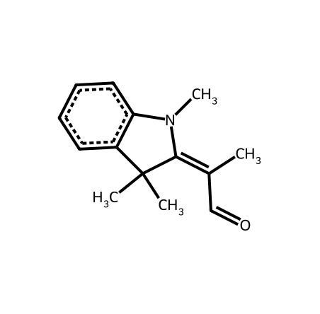 CC(C=O)=C1N(C)c2ccccc2C1(C)C